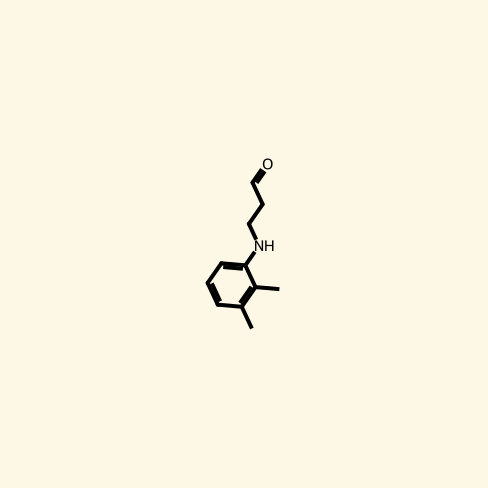 Cc1cccc(NCCC=O)c1C